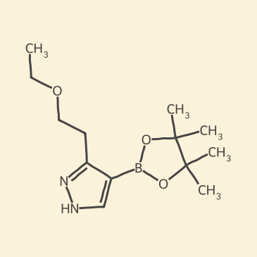 CCOCCc1n[nH]cc1B1OC(C)(C)C(C)(C)O1